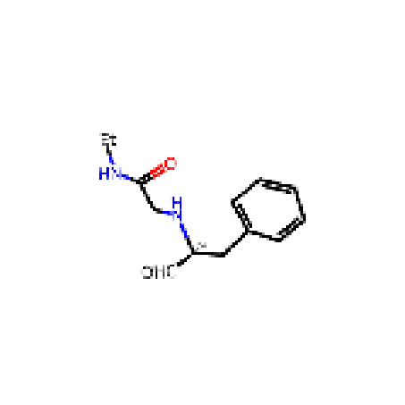 CCNC(=O)CN[C@H](C=O)Cc1ccccc1